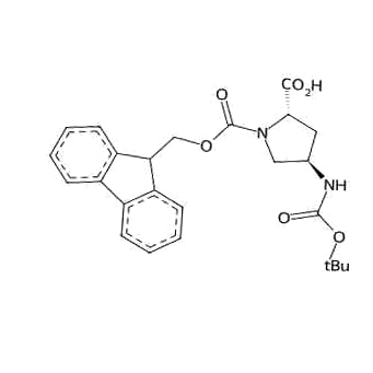 CC(C)(C)OC(=O)N[C@@H]1C[C@@H](C(=O)O)N(C(=O)OCC2c3ccccc3-c3ccccc32)C1